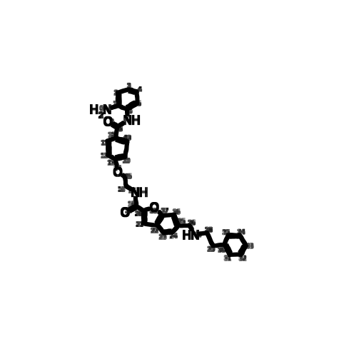 Nc1ccccc1NC(=O)c1ccc(OCCNC(=O)c2cc3ccc(CNCCc4ccccc4)cc3o2)cc1